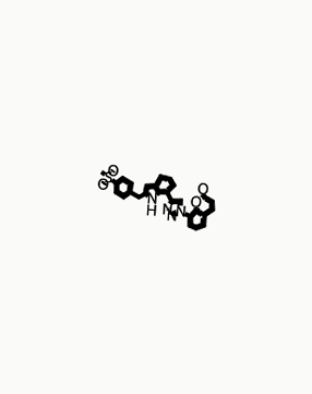 CS(=O)(=O)c1ccc(Cc2cc3cccc(-c4cn(-c5cccc6ccc(=O)oc56)nn4)c3[nH]2)cc1